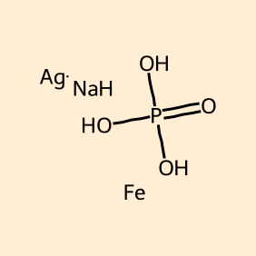 O=P(O)(O)O.[Ag].[Fe].[NaH]